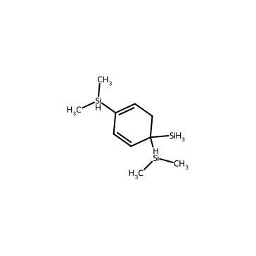 C[SiH](C)C1=CCC([SiH3])([SiH](C)C)C=C1